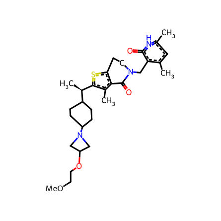 COCCOC1CN(C2CCC([C@@H](C)c3sc4c(c3C)C(=O)N(Cc3c(C)cc(C)[nH]c3=O)CC4)CC2)C1